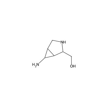 NC1C2CNC(CO)C12